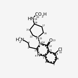 NCCc1nc2cccc(Cl)c2c(=O)n1N1CCC(NC(=O)O)CC1